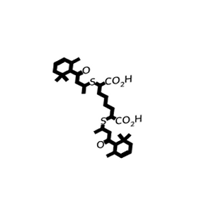 CC(CC(=O)C1C(C)C=CCC1(C)C)SC(CCCCC(SC(C)CC(=O)C1C(C)C=CCC1(C)C)C(=O)O)C(=O)O